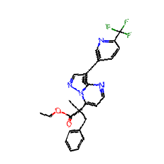 CCOC(=O)C(C)(Cc1ccccc1)c1ccnc2c(-c3ccc(C(F)(F)F)nc3)cnn12